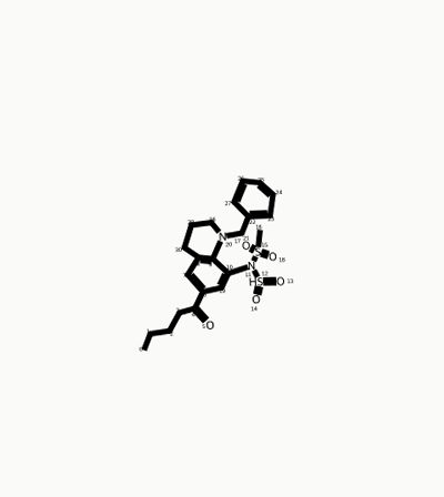 CCCCC(=O)c1cc2c(c(N([SH](=O)=O)S(C)(=O)=O)c1)N(Cc1ccccc1)CCC2